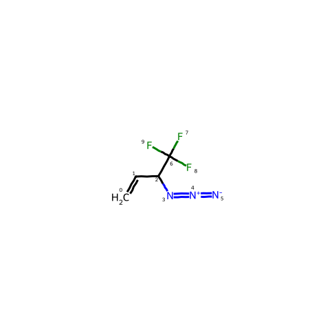 C=CC(N=[N+]=[N-])C(F)(F)F